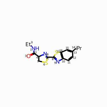 CCNC(=O)C1CSC(c2nc3ccc(C(C)C)cc3s2)=N1